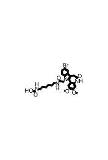 COc1cc2c(cc1OC)-c1c(c3cc(Br)ccc3n1CC(=O)NCCCCCCNC(=O)O)CC(=O)N2